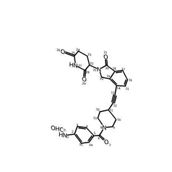 O=CNc1ccc(C(=O)N2CCC(C#Cc3cccc4c3CN(C3CCC(=O)NC3=O)C4=O)CC2)cc1